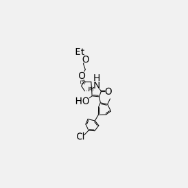 CCOCCO[C@H]1CC[C@]2(C1)NC(=O)C(c1cc(-c3ccc(Cl)cc3)ccc1C)=C2O